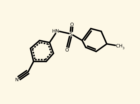 CC1C=CC(S(=O)(=O)Nc2ccc(C#N)cc2)=CC1